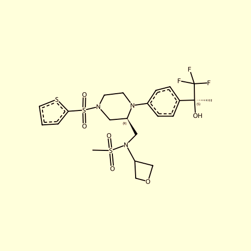 C[C@](O)(c1ccc(N2CCN(S(=O)(=O)c3cccs3)C[C@@H]2CN(C2COC2)S(C)(=O)=O)cc1)C(F)(F)F